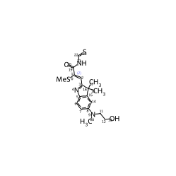 CS/C(=C\C1=Nc2ccc(N(C)CCO)cc2C1(C)C)C(=O)NC=S